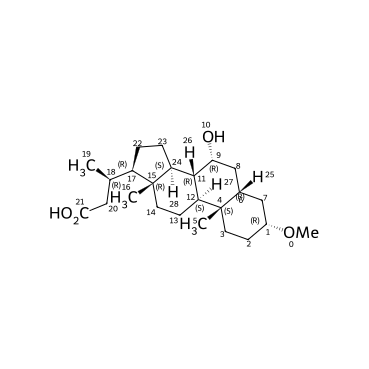 CO[C@@H]1CC[C@@]2(C)[C@@H](C1)C[C@@H](O)[C@@H]1[C@@H]2CC[C@]2(C)[C@@H]([C@H](C)CC(=O)O)CC[C@@H]12